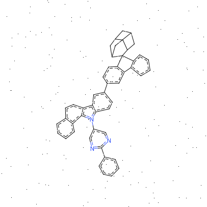 c1ccc(-c2ncc(-n3c4ccc(-c5ccc6c(c5)-c5ccccc5C65C6CC7CC(C6)CC5C7)cc4c4ccc5ccccc5c43)cn2)cc1